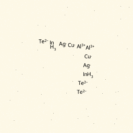 [Ag].[Ag].[Al+3].[Al+3].[Cu].[Cu].[InH3].[InH3].[Te-2].[Te-2].[Te-2]